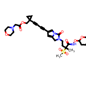 CC(CCN1Cc2cc(C#CC#CC3(COC(=O)CN4CCOCC4)CC3)cn2C1=O)(C(=O)NOC1CCCCO1)S(C)(=O)=O